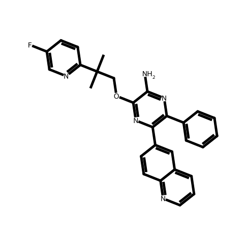 CC(C)(COc1nc(-c2ccc3ncccc3c2)c(-c2ccccc2)nc1N)c1ccc(F)cn1